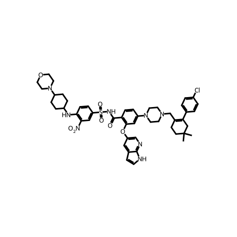 CC1(C)CCC(CN2CCN(c3ccc(C(=O)NS(=O)(=O)c4ccc(NC5CCC(N6CCOCC6)CC5)c([N+](=O)[O-])c4)c(Oc4cnc5[nH]ccc5c4)c3)CC2)=C(c2ccc(Cl)cc2)C1